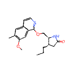 CCC[C@@H]1CC(=O)N[C@@H]1COc1nccc2cc(C)c(OC)cc12